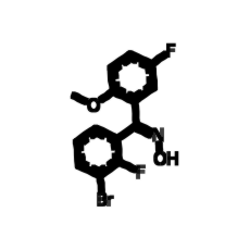 COc1ccc(F)cc1C(=NO)c1cccc(Br)c1F